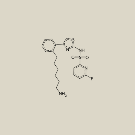 NCCCCCCc1ccccc1-c1csc(NS(=O)(=O)c2cccc(F)n2)n1